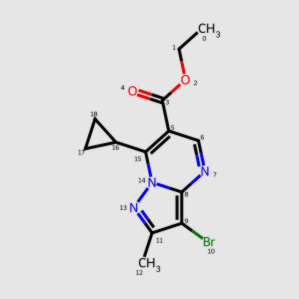 CCOC(=O)c1cnc2c(Br)c(C)nn2c1C1CC1